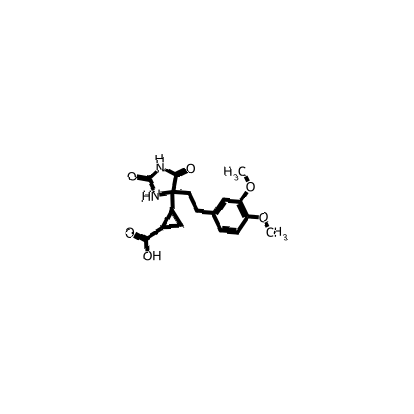 COc1ccc(CCC2(C3CC3C(=O)O)NC(=O)NC2=O)cc1OC